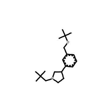 CC(C)(C)CN1CCC(c2cccc(COC(C)(C)C)c2)C1